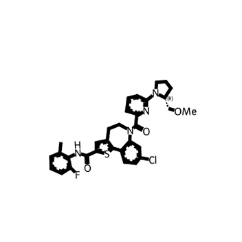 COC[C@H]1CCCN1c1cccc(C(=O)N2CCc3cc(C(=O)Nc4c(C)cccc4F)sc3-c3ccc(Cl)cc32)n1